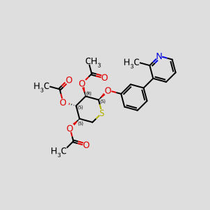 CC(=O)O[C@@H]1[C@@H](OC(C)=O)[C@@H](Oc2cccc(-c3cccnc3C)c2)SC[C@H]1OC(C)=O